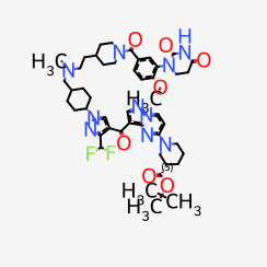 COc1ccc(C(=O)N2CCC(CCN(C)CC3CCC(n4cc(C(=O)c5cnn6ccc(N7CCC[C@H](C(=O)OC(C)(C)C)C7)nc56)c(C(F)F)n4)CC3)CC2)cc1N1CCC(=O)NC1=O